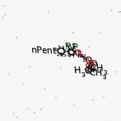 CCCCC[C@H]1CC[C@H](c2ccc(OCCCOC(=O)O[Si](C)(C)C)c(F)c2F)CC1